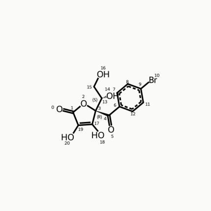 O=C1O[C@](C(=O)c2ccc(Br)cc2)([C@@H](O)CO)C(O)=C1O